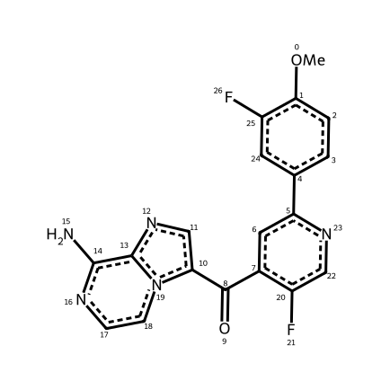 COc1ccc(-c2cc(C(=O)c3cnc4c(N)nccn34)c(F)cn2)cc1F